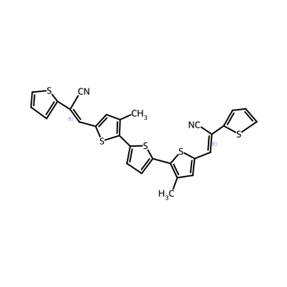 Cc1cc(/C=C(\C#N)c2cccs2)sc1-c1ccc(-c2sc(/C=C(\C#N)c3cccs3)cc2C)s1